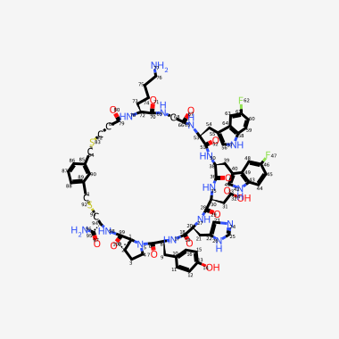 C[C@@]12CCCN1C(=O)[C@H](Cc1ccc(O)cc1)NC(=O)[C@H](Cc1cnc[nH]1)NC(=O)[C@H](CC(=O)O)NC(=O)[C@H](Cc1c[nH]c3ccc(F)cc13)NC(=O)[C@H](Cc1c[nH]c3ccc(F)cc13)NC(=O)CNC(=O)[C@H](CCCCN)NC(=O)CCSCc1cccc(c1)CSC[C@@H](C(N)=O)NC2=O